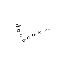 [Ca+2].[Cl-].[Cl-].[Cl-].[Cl-].[Cl-].[Fe+2].[K+]